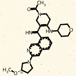 CO[C@H]1CCN(c2cc3cccc(C(=N)C4=C(NC5CCOCC5)CCN(C(C)=O)C4)c3cn2)C1